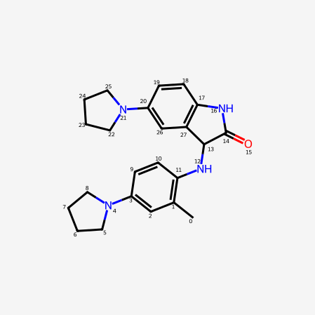 Cc1cc(N2CCCC2)ccc1NC1C(=O)Nc2ccc(N3CCCC3)cc21